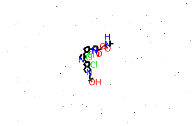 COc1nc(-c2cccc(-c3ccnc(-c4cc(Cl)c5c(c4)CCN(CCC(C)(C)O)C5)c3Cl)c2Cl)ccc1COC(=O)NC(C)(C)C